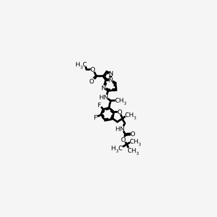 CCOC(=O)c1cnn2ccc(NC(C)c3c(F)c(F)cc4c3OC(C)(CNC(=O)OC(C)(C)C)C4)nc12